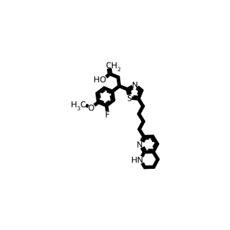 C=C(O)CC(c1ccc(OC)c(F)c1)c1ncc(CCCCc2ccc3c(n2)NCCC3)s1